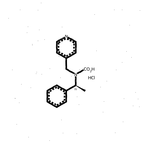 C[C@@H](c1ccccc1)N(Cc1ccncc1)C(=O)O.Cl